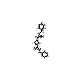 O=C(OCc1ccccc1)N1CC(CNCCc2ccccc2)C1